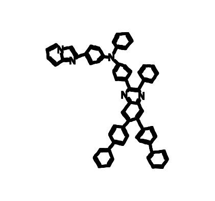 c1ccc(-c2ccc(-c3cc4nc(-c5ccccc5)c(-c5ccc(N(c6ccccc6)c6ccc(-c7cn8ccccc8n7)cc6)cc5)nc4cc3-c3ccc(-c4ccccc4)cc3)cc2)cc1